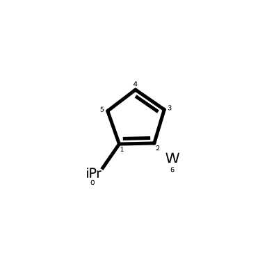 CC(C)C1=CC=CC1.[W]